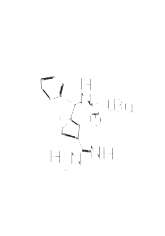 CC(C)(C)[S@+]([O-])NC(c1ccccc1)c1cc(C(=N)N)cs1